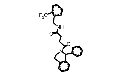 O=C(CCC(=O)N1CCc2ccccc2C1c1ccccc1)NCc1ccccc1C(F)(F)F